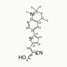 CC1CC(C)(C)N(C)c2ccc(-c3ccc(/C=C(\C#N)C(=O)O)s3)cc21